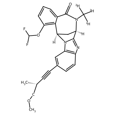 [2H]C([2H])([2H])N1C(=O)c2cccc(OC(F)F)c2[C@H]2C[C@@H]1c1nc3ccc(C#C[C@@H](C)COC)cc3n12